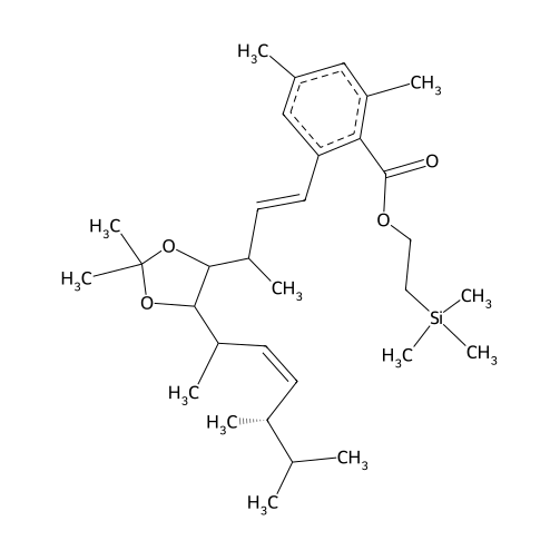 Cc1cc(C)c(C(=O)OCC[Si](C)(C)C)c(/C=C/C(C)C2OC(C)(C)OC2C(C)/C=C\[C@@H](C)C(C)C)c1